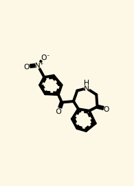 O=C1CNCC(C(=O)c2ccc([N+](=O)[O-])cc2)c2ccccc21